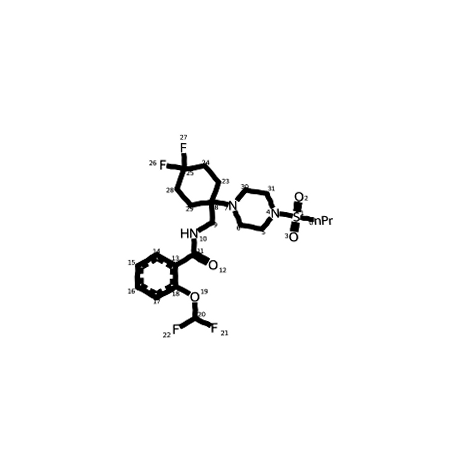 CCCS(=O)(=O)N1CCN(C2(CNC(=O)c3ccccc3OC(F)F)CCC(F)(F)CC2)CC1